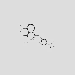 CC(C)n1nc(Nc2cc(S(C)(=O)=O)[nH]n2)c2cccc(N(C)C)c2c1=O